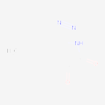 Cc1ccc2c(c1)C(=O)C(=O)N2.N#N